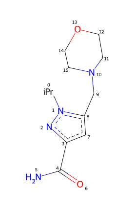 CC(C)n1nc(C(N)=O)cc1CN1CCOCC1